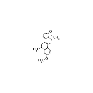 CC[C@]12CCC3=C(CC(C)c4cc(OC)ccc43)C1=CCC2=O